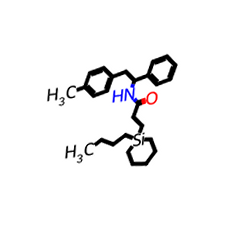 CCCC[Si]1(CCC(=O)NC(Cc2ccc(C)cc2)c2ccccc2)CCCCC1